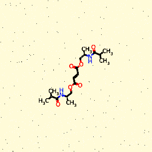 CC(C)C(=O)N[C@H](C)COC(=O)/C=C/C(=O)OC[C@@H](C)NC(=O)C(C)C